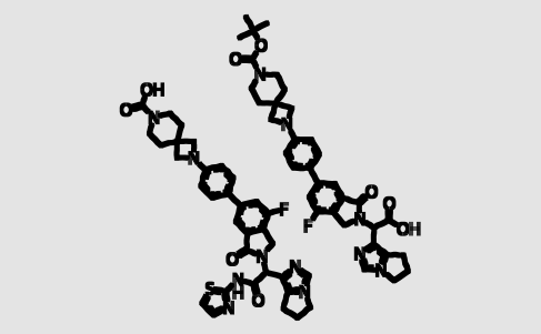 CC(C)(C)OC(=O)N1CCC2(CC1)CN(c1ccc(-c3cc(F)c4c(c3)C(=O)N(C(C(=O)O)c3ncn5c3CCC5)C4)cc1)C2.O=C(Nc1nccs1)C(c1ncn2c1CCC2)N1Cc2c(F)cc(-c3ccc(N4CC5(CCN(C(=O)O)CC5)C4)cc3)cc2C1=O